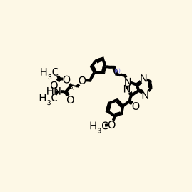 CNC(=O)[C@H](COCc1cccc(/C=C/Cn2nc(C(=O)c3cccc(OC)c3)c3nccnc32)c1)OC(C)=O